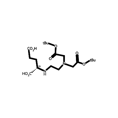 CC(C)(C)OC(=O)CN(CCN[C@@H](CCC(=O)O)C(=O)O)CC(=O)OC(C)(C)C